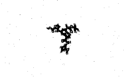 COC(=O)c1occc1Nc1cc(N(C)C(=O)OC(C)(C)C)n2ncc(C(=O)NC3CC[C@@H]3OC)c2n1